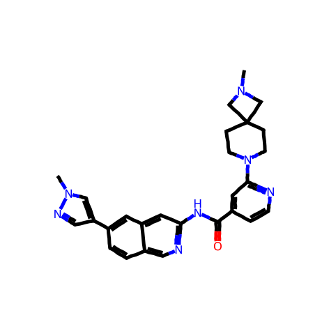 CN1CC2(CCN(c3cc(C(=O)Nc4cc5cc(-c6cnn(C)c6)ccc5cn4)ccn3)CC2)C1